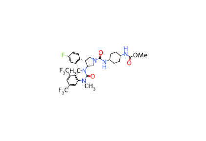 COC(=O)NC1CCC(NC(=O)N2C[C@@H](N(C)C(=O)N(C)c3cc(C(F)(F)F)cc(C(F)(F)F)c3)[C@H](c3ccc(F)cc3)C2)CC1